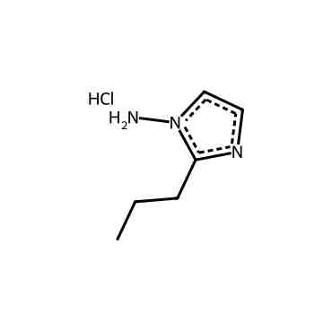 CCCc1nccn1N.Cl